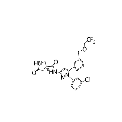 O=C1C[C@H](C(=O)Nc2cc(-c3cccc(COCC(F)(F)F)c3)n(-c3cccc(Cl)c3)n2)CN1